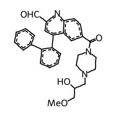 COCC(O)CN1CCN(C(=O)c2ccc3nc(C=O)cc(-c4ccccc4-c4ccccc4)c3c2)CC1